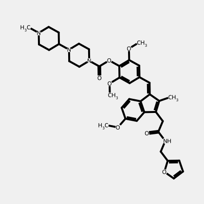 COc1ccc2c(c1)C(CC(=O)NCc1ccco1)=C(C)/C2=C/c1cc(OC)c(OC(=O)N2CCN(C3CCN(C)CC3)CC2)c(OC)c1